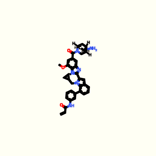 C=CC(=O)Nc1cccc(-c2cccc3cc(-c4nc5cc(C(=O)N6C[C@H]7CC[C@@H]6C[C@@H]7N)cc(OC)c5n4C)n(CC4CC4)c23)c1